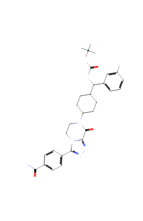 CC(C)(C)OC(=O)NC(c1cccc(Cl)c1)C1CCC(N2CCn3c(nnc3-c3ccc(C(N)=O)cc3)C2=O)CC1